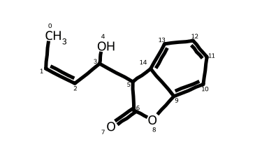 C/C=C\C(O)C1C(=O)Oc2ccccc21